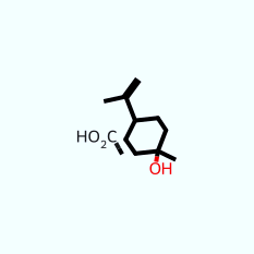 C=C(C)C1CCC(C)(O)CC1.CC(=O)O